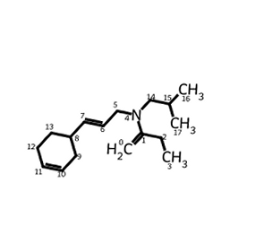 C=C(CC)N(C/C=C/C1CC=CCC1)CC(C)C